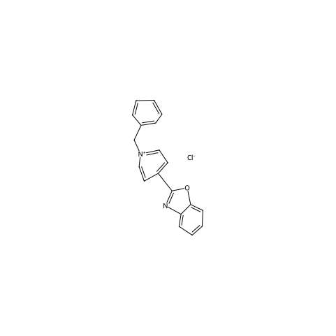 [Cl-].c1ccc(C[n+]2ccc(-c3nc4ccccc4o3)cc2)cc1